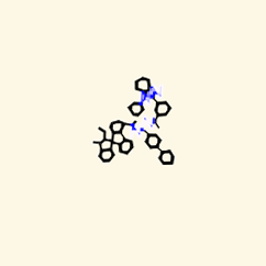 C=CC1=C(C)c2ccccc2C12c1ccccc1-c1c(C(=C)/N=C(\N=C(/C)c3cccc(-c4nc5ccccc5n4-c4ccccc4)c3)c3ccc(-c4ccccc4)cc3)cccc12